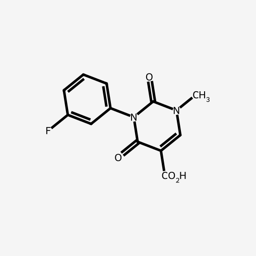 Cn1cc(C(=O)O)c(=O)n(-c2cccc(F)c2)c1=O